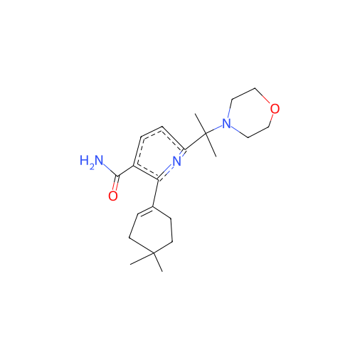 CC1(C)CC=C(c2nc(C(C)(C)N3CCOCC3)ccc2C(N)=O)CC1